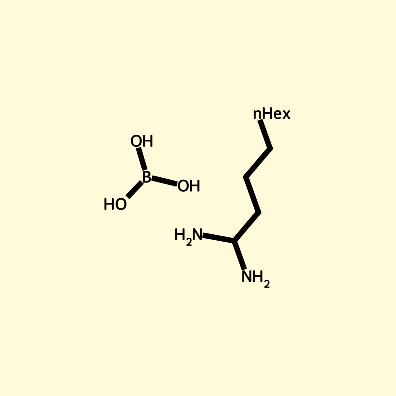 CCCCCCCCCC(N)N.OB(O)O